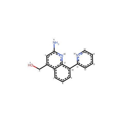 Nc1cc(CO)c2cccc(-c3ccccn3)c2n1